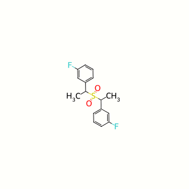 CC(c1cccc(F)c1)S(=O)(=O)C(C)c1cccc(F)c1